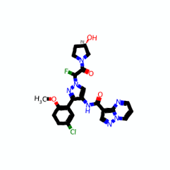 COC1=C(c2nn(C(F)C(=O)N3CC[C@H](O)C3)cc2NC(=O)c2cnn3cccnc23)C=C(Cl)CC1